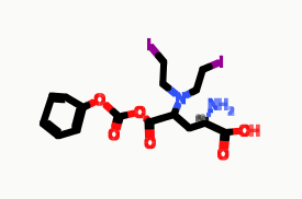 N[C@@H](CC(C(=O)OC(=O)Oc1ccccc1)N(CCI)CCI)C(=O)O